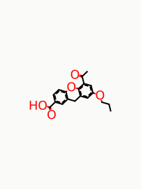 CCCOc1cc2c(c(C(C)=O)c1)Oc1ccc(C(=O)O)cc1C2